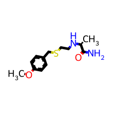 COc1ccc(CSCCN[C@@H](C)C(N)=O)cc1